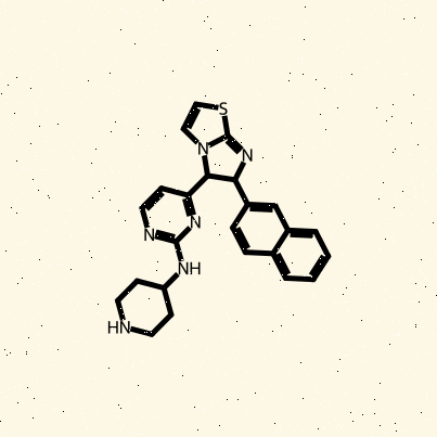 C1=CN2C(=NC(c3ccc4ccccc4c3)C2c2ccnc(NC3CCNCC3)n2)S1